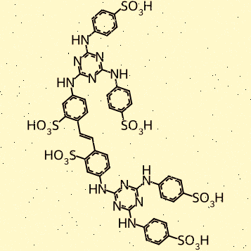 O=S(=O)(O)c1ccc(Nc2nc(Nc3ccc(S(=O)(=O)O)cc3)nc(Nc3ccc(/C=C/c4ccc(Nc5nc(Nc6ccc(S(=O)(=O)O)cc6)nc(Nc6ccc(S(=O)(=O)O)cc6)n5)cc4S(=O)(=O)O)c(S(=O)(=O)O)c3)n2)cc1